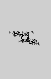 CC(C)SP1(=O)OC[C@H]2O[C@@H](n3cnc4c(N)ncnc43)C[C@@H]2OP(=O)(S)OCC2O[C@@H](n3cnc4c(N)ncnc43)C[C@@H]2O1